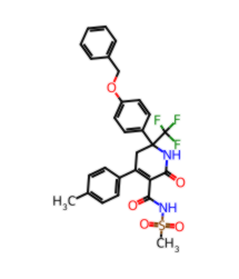 Cc1ccc(C2=C(C(=O)NS(C)(=O)=O)C(=O)NC(c3ccc(OCc4ccccc4)cc3)(C(F)(F)F)C2)cc1